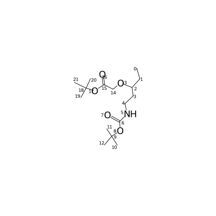 CCC(CCNC(=O)OC(C)(C)C)OCC(=O)OC(C)(C)C